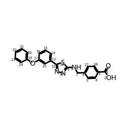 O=C(O)c1ccc(CNc2nnc(-c3cccc(Oc4ccccc4)c3)s2)cc1